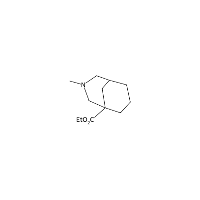 CCOC(=O)C12CCCC(CN(C)C1)C2